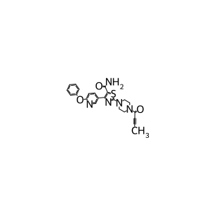 CC#CC(=O)N1CCN(c2nc(-c3ccc(Oc4ccccc4)nc3)c(C(N)=O)s2)CC1